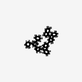 c1ccc(-c2cc(-c3cccc(-n4c5ccccc5c5cc(-c6ccc7c8ccccc8n(-c8cccc9ccccc89)c7c6)ccc54)c3)nc(-c3ccccc3)n2)cc1